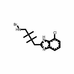 CC(C)(CNBr)C(C)(C)Cc1nc2cccc(Cl)c2[nH]1